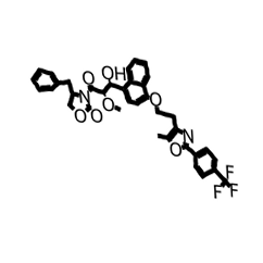 CO[C@H](C(=O)N1C(=O)OCC1Cc1ccccc1)[C@H](O)c1ccc(OCCc2nc(-c3ccc(C(F)(F)F)cc3)oc2C)c2ccccc12